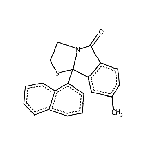 Cc1ccc2c(c1)C1(c3cccc4ccccc34)SCCN1C2=O